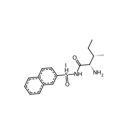 CC[C@H](C)[C@H](N)C(=O)N[SH](=O)(I)c1ccc2ccccc2c1